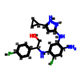 Nc1cc(F)c(NC(CO)c2ccc(F)cc2)cc1Nc1cc(C2CC2)[nH]n1